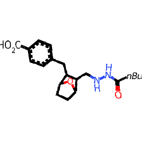 CCCCC(=O)NNCC1C2CCC(O2)C1Cc1ccc(C(=O)O)cc1